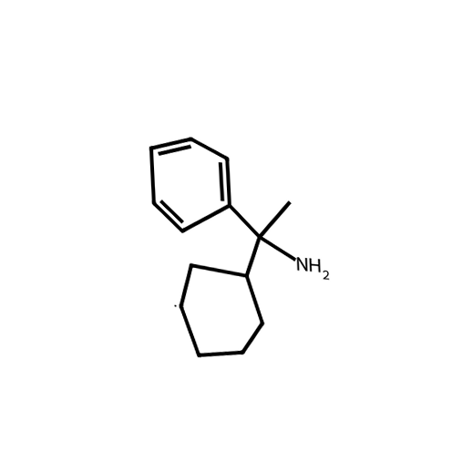 CC(N)(c1ccccc1)C1C[CH]CCC1